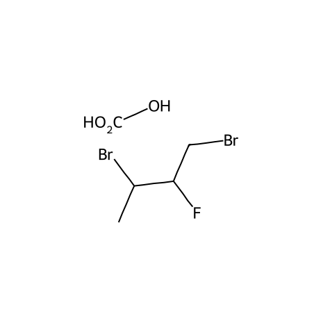 CC(Br)C(F)CBr.O=C(O)O